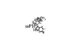 CC(C)(C)OC(=O)N1CC[C@@H]2[C@H]1[C@H](c1c[nH]c3cc(F)ccc13)CN2S(C)(=O)=O